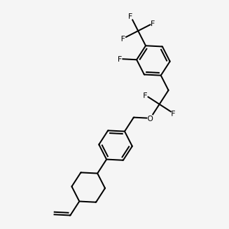 C=CC1CCC(c2ccc(COC(F)(F)Cc3ccc(C(F)(F)F)c(F)c3)cc2)CC1